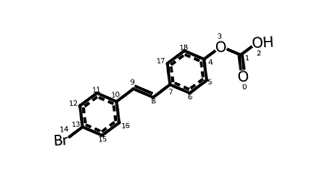 O=C(O)Oc1ccc(C=Cc2ccc(Br)cc2)cc1